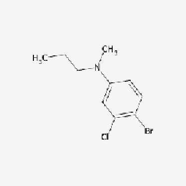 CCCN(C)c1ccc(Br)c(Cl)c1